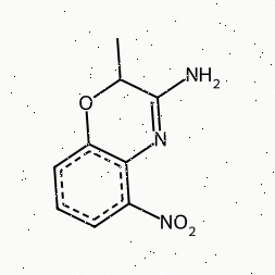 CC1Oc2cccc([N+](=O)[O-])c2N=C1N